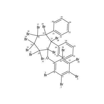 Brc1c(Br)c(Br)c(OC2(Br)C(Br)(Br)C(Br)(Br)C(Br)(Br)C(Br)(c3ccccc3)C2(Br)c2ccccc2)c(Br)c1Br